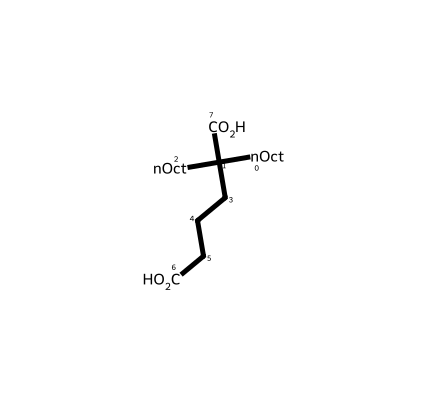 CCCCCCCCC(CCCCCCCC)(CCCC(=O)O)C(=O)O